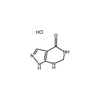 Cl.O=C1NCNc2[nH]ncc21